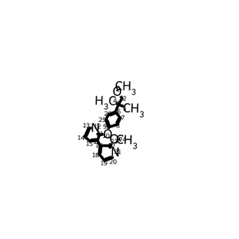 COCC(C)(C)c1ccc(Oc2ncccc2-c2cccnc2OC)cc1